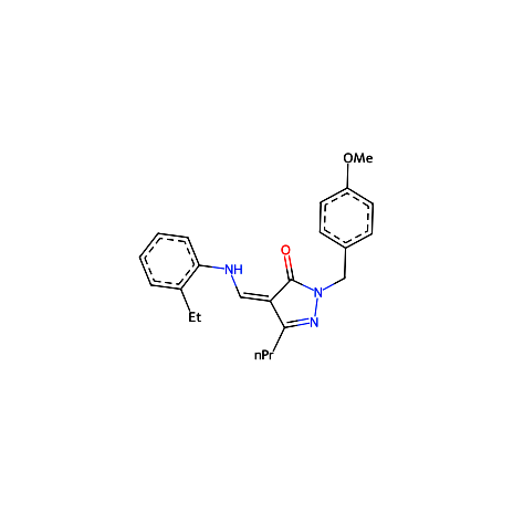 CCCC1=NN(Cc2ccc(OC)cc2)C(=O)/C1=C\Nc1ccccc1CC